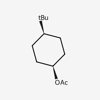 CC(=O)O[C@H]1CC[C@@H](C(C)(C)C)CC1